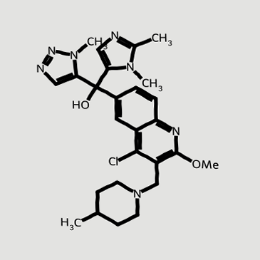 COc1nc2ccc(C(O)(c3cnnn3C)c3cnc(C)n3C)cc2c(Cl)c1CN1CCC(C)CC1